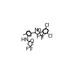 Cc1ccc(C2=NOC(c3cc(Cl)cc(Cl)c3)(C(F)(F)F)C2)cc1NC(=O)CC(F)(F)F